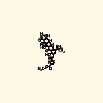 CCOC(=O)c1csc(NCc2cc(N(C)C)c3c(c2O)C(=O)C2=C(O)[C@]4(O)C(=O)C(C(N)=O)=C(O)C[C@@H]4C[C@@H]2C3)n1